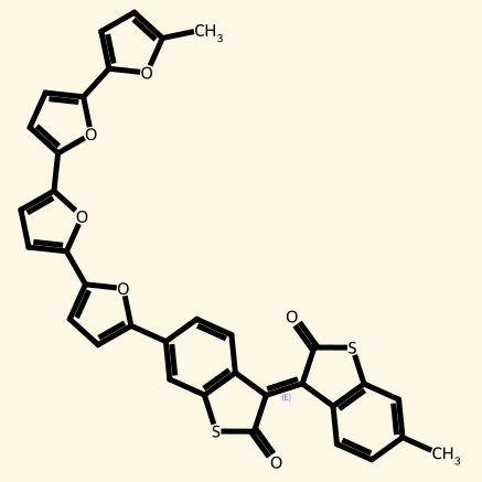 Cc1ccc2c(c1)SC(=O)/C2=C1/C(=O)Sc2cc(-c3ccc(-c4ccc(-c5ccc(-c6ccc(C)o6)o5)o4)o3)ccc21